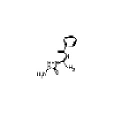 C=C(/N=C(/N)NC(=O)NN)c1ccccc1